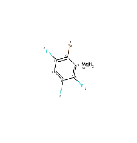 Fc1cc(F)c(Br)cc1F.[MgH2]